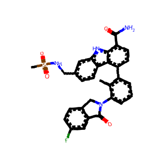 Cc1c(-c2ccc(C(N)=O)c3[nH]c4cc(CNS(C)(=O)=O)ccc4c23)cccc1N1Cc2ccc(F)cc2C1=O